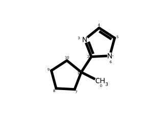 CC1(C2=NC=C[N]2)CCCC1